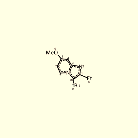 CCc1nc2cc(OC)ccn2c1C(C)(C)C